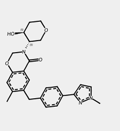 Cc1cc2c(cc1Cc1ccc(-c3ccn(C)n3)cc1)C(=O)N([C@H]1COCC[C@@H]1O)CO2